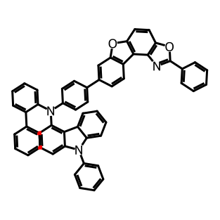 c1ccc(-c2nc3c(ccc4oc5cc(-c6ccc(N(c7ccccc7-c7ccccc7)c7cccc8c7c7ccccc7n8-c7ccccc7)cc6)ccc5c43)o2)cc1